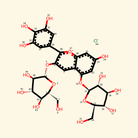 OC[C@H]1O[C@@H](Oc2cc3c(O[C@@H]4O[C@H](CO)[C@@H](O)[C@H](O)[C@H]4O)cc(O)cc3[o+]c2-c2cc(O)c(O)c(O)c2)[C@H](O)[C@@H](O)[C@@H]1O.[Cl-]